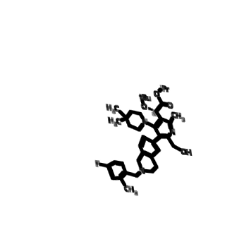 Cc1cc(F)ccc1CN1CCc2cc(-c3c(CO)nc(C)c([C@H](OC(C)(C)C)C(=O)OC(C)C)c3N3CCC(C)(C)CC3)ccc2C1